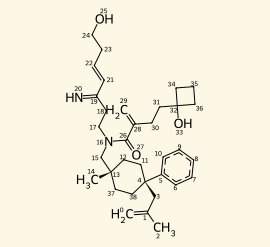 C=C(C)C[C@]1(c2ccccc2)CC[C@@](C)(CN(CCC(=N)/C=C/CCO)C(=O)C(=C)CCC2(O)CCC2)CC1